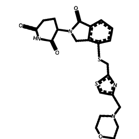 O=C1CCC(N2Cc3c(SCc4nc(CN5CCOCC5)cs4)cccc3C2=O)C(=O)N1